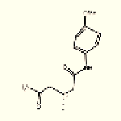 COc1ccc(NC(=O)[CH][C@H](C)CC(N)=O)cc1